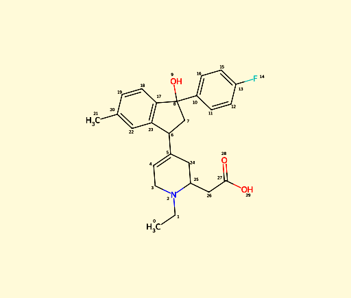 CCN1CC=C(C2CC(O)(c3ccc(F)cc3)c3ccc(C)cc32)CC1CC(=O)O